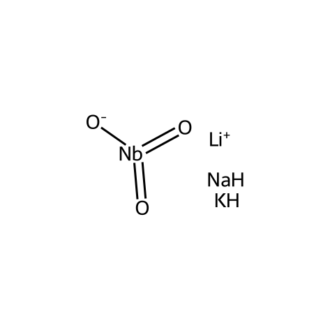 [KH].[Li+].[NaH].[O]=[Nb](=[O])[O-]